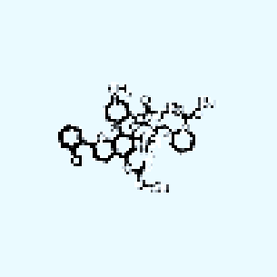 CCN(C[C@@H]1CCCCN1C(=O)OC(C)(C)C)C(=O)OC1(C)C=C(OC(=O)OC(C)(C)C)C2=C(OC(c3ccccc3Cl)=CC2)C1[C@H]1CCN(C)C[C@H]1OC(=O)OC(C)(C)C